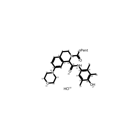 CCCCCC(=O)N1CCc2ccc(N3CCOCC3)cc2C1C(=O)Nc1cc(C)c(O)c(C)c1C.Cl